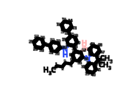 CCCCCc1cc(-c2ccc(-c3ccccc3)cc2Nc2ccc(-c3ccccc3)cc2)c2c(c1)N1c3ccccc3C(C)(C)c3cccc(c31)B2